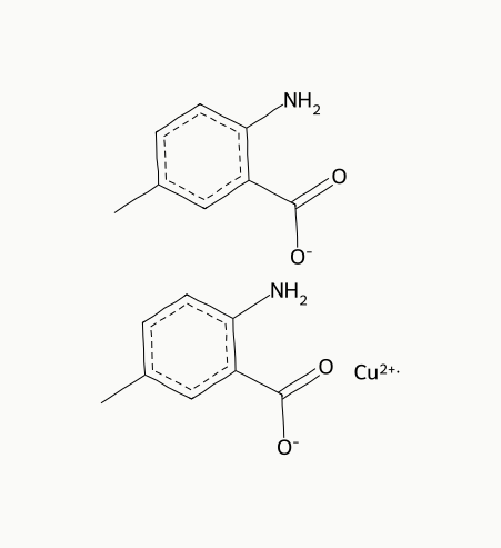 Cc1ccc(N)c(C(=O)[O-])c1.Cc1ccc(N)c(C(=O)[O-])c1.[Cu+2]